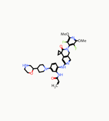 C=CC(=O)Nc1cc(N2CCC(C3CNCCO3)CC2)ccc1Nc1cc2c(cn1)CN(c1c(F)c(OC)nc(OC)c1F)C(=O)C21CC1